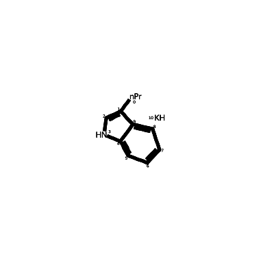 CCCc1c[nH]c2ccccc12.[KH]